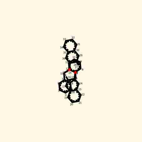 c1ccc2c(c1)C1c3ccccc3C2[C@]23Sc4cc5ccccc5cc4[C@]12Sc1cc2ccccc2cc13